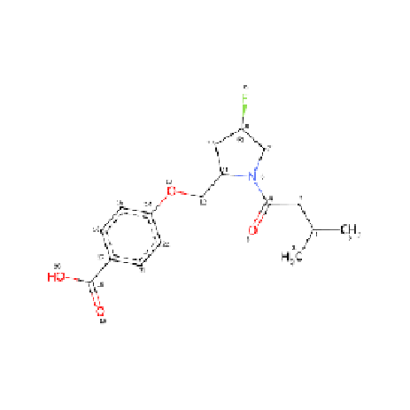 CC(C)CC(=O)N1C[C@H](F)CC1COc1ccc(C(=O)O)cc1